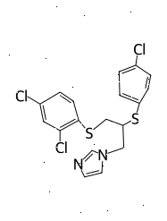 Clc1ccc(SC(CSc2ccc(Cl)cc2Cl)Cn2ccnc2)cc1